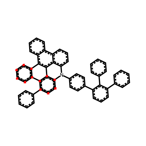 c1ccc(-c2ccc(N(c3ccc(-c4cccc(-c5ccccc5)c4-c4ccccc4)cc3)c3cccc4c3c(-c3ccccc3)c(-c3ccccc3)c3ccccc34)cc2-c2ccccc2)cc1